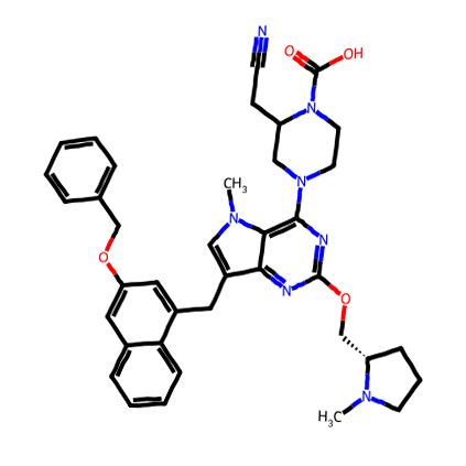 CN1CCC[C@H]1COc1nc(N2CCN(C(=O)O)C(CC#N)C2)c2c(n1)c(Cc1cc(OCc3ccccc3)cc3ccccc13)cn2C